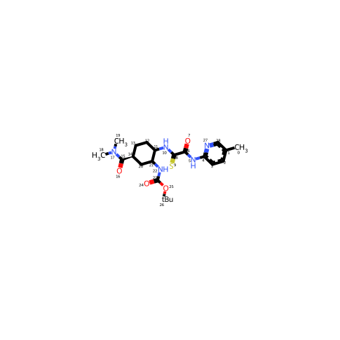 Cc1ccc(NC(=O)C(=S)NC2CC[C@H](C(=O)N(C)C)CC2NC(=O)OC(C)(C)C)nc1